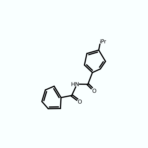 CC(C)c1ccc(C(=O)NC(=O)c2ccccc2)cc1